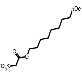 CCCCCCCCCCCCCCCCCCOC(=O)CS(=O)(=O)O